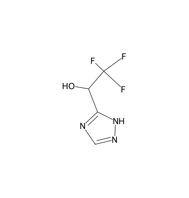 OC(c1ncn[nH]1)C(F)(F)F